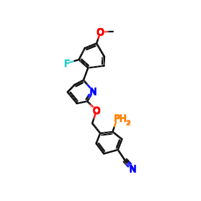 COc1ccc(-c2cccc(OCc3ccc(C#N)cc3P)n2)c(F)c1